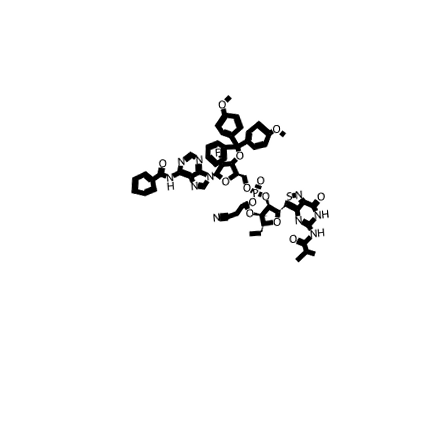 CC[C@H]1O[C@@H](c2snc3c(=O)[nH]c(NC(=O)C(C)C)nc23)[C@H](OP(=O)(OCCC#N)OC[C@H]2O[C@@H](n3cnc4c(NC(=O)c5ccccc5)ncnc43)[C@H](F)C2OC(c2ccccc2)(c2ccc(OC)cc2)c2ccc(OC)cc2)[C@@H]1OC